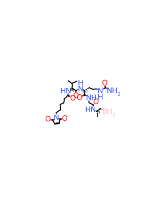 BC[C@@H](C)NC(=O)CNC(=O)[C@H](CCCNC(N)=O)NC(=O)[C@@H](NC(=O)CCCCCN1C(=O)C=CC1=O)C(C)C